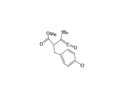 COC(=O)C(Cc1ccc(Cl)cc1)C(=C=O)C(C)(C)C